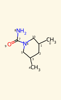 CC1CC(C)CN(C(N)=O)C1